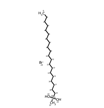 CCCCCCCCCCCCCCCCCCCC[N+](C)(O)O.[Br-]